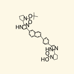 CC(C)(C)OC(=O)N1CCCC1c1nc(-c2ccc3cc(-c4ccc(-c5cnc(C6CCCN6C(=O)O)[nH]5)cc4)ccc3c2)c[nH]1